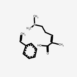 C=Cc1ccccc1.CC(=CCCN(C)C)C(=O)O